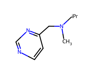 CC(C)N(C)Cc1ccncn1